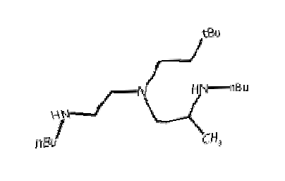 CCCCNCCN(CCC(C)(C)C)CC(C)NCCCC